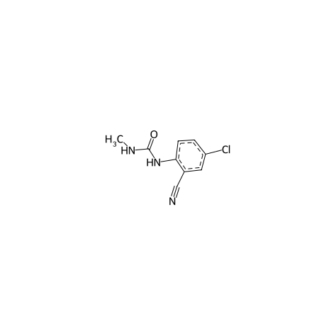 CNC(=O)Nc1ccc(Cl)cc1C#N